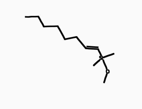 CCCCCCC=C[Si](C)(C)OC